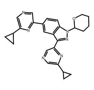 c1cc2c(cc1-c1cncc(C3CC3)n1)c(-c1cncc(C3CC3)n1)nn2C1CCCCO1